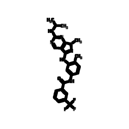 Cc1ccc(NC(=O)c2cccc(C(F)(F)F)c2)cc1Nc1nn(C)c2nc(NC(C)C)ncc12